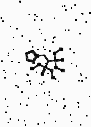 CCOP(=O)(OCC)C(Cn1cccn1)P(=O)(OCC)OCC